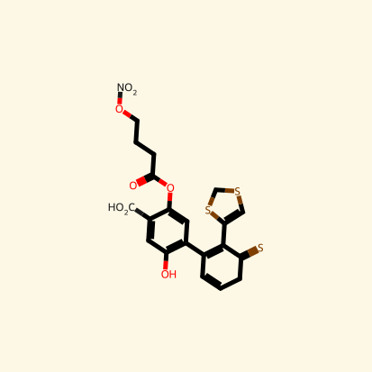 O=C(CCCO[N+](=O)[O-])Oc1cc(C2=C(C3=CSCS3)C(=S)CC=C2)c(O)cc1C(=O)O